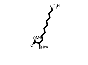 CCCCCCC(CCCCCCCCCC(=O)O)C(=O)OC